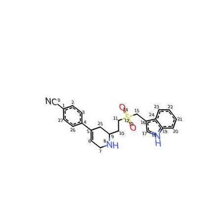 N#Cc1ccc(C2=CCNC(CCS(=O)(=O)Cc3c[nH]c4ccccc34)C2)cc1